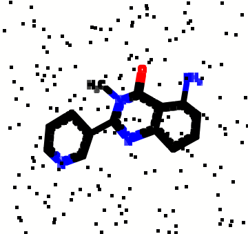 Cn1c(-c2cccnc2)nc2cccc(N)c2c1=O